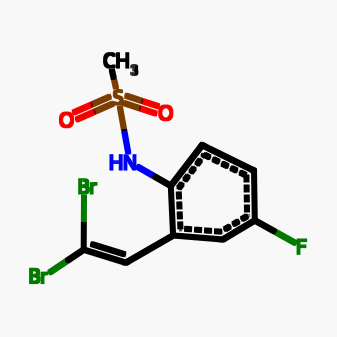 CS(=O)(=O)Nc1ccc(F)cc1C=C(Br)Br